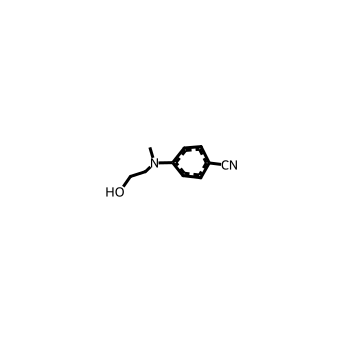 CN(CCO)c1ccc(C#N)cc1